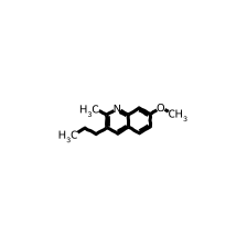 CCCc1cc2ccc(OC)cc2nc1C